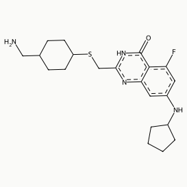 NCC1CCC(SCc2nc3cc(NC4CCCC4)cc(F)c3c(=O)[nH]2)CC1